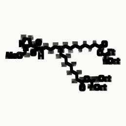 CCCCCCCCC(CC)OC(=O)CCCCCCCN(CCCCCCCC(=O)OC(CCCCCCCC)CCCCCCCC)CCCNS(=O)(=O)c1ccnn1COC